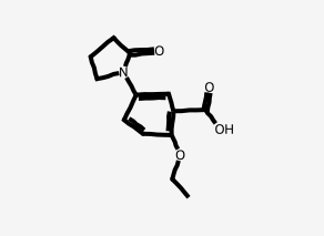 CCOc1ccc(N2CCCC2=O)cc1C(=O)O